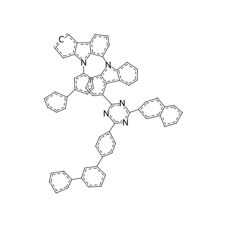 c1ccc(-c2cccc(-c3ccc(-c4nc(-c5ccc6ccccc6c5)nc(-c5cccc6c5c5ccccc5n6-c5cccc6c7ccccc7n(-c7cccc(-c8ccccc8)c7)c56)n4)cc3)c2)cc1